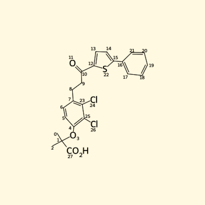 CC(C)(Oc1ccc(CCC(=O)c2ccc(-c3ccccc3)s2)c(Cl)c1Cl)C(=O)O